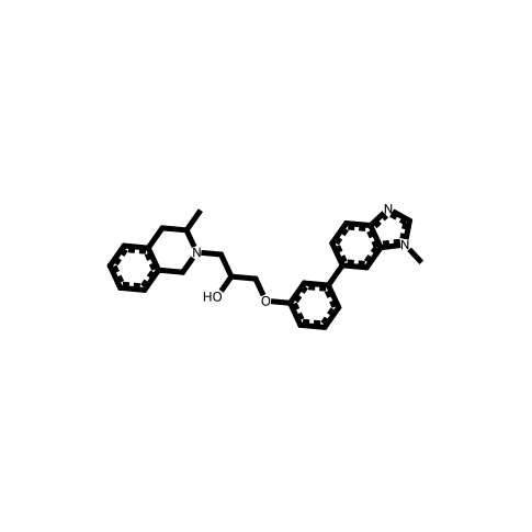 CC1Cc2ccccc2CN1CC(O)COc1cccc(-c2ccc3ncn(C)c3c2)c1